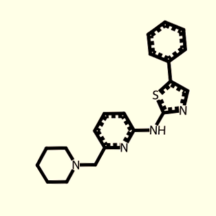 c1ccc(-c2cnc(Nc3cccc(CN4CCCCC4)n3)s2)cc1